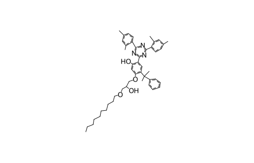 CCCCCCCCCCOCC(O)COc1cc(O)c(-c2nc(-c3ccc(C)cc3C)nc(-c3ccc(C)cc3C)n2)cc1C(C)(C)c1ccccc1